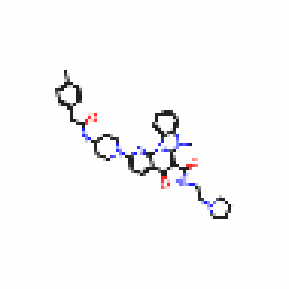 Cc1ccc(CC(=O)NC2CCN(c3ccc4c(=O)c(C(=O)NCCN5CCCC5)c5n(C)c6ccccc6n5c4n3)CC2)cc1